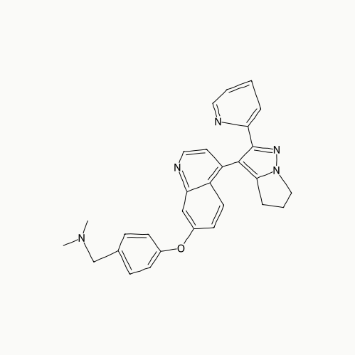 CN(C)Cc1ccc(Oc2ccc3c(-c4c(-c5ccccn5)nn5c4CCC5)ccnc3c2)cc1